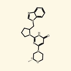 C[C@@H]1CN(c2cc(=O)[nH]c(N3CCCC3Cn3cnc4ccccc43)n2)CCO1